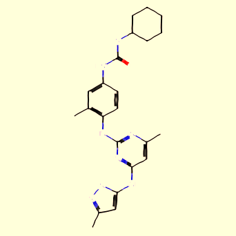 Cc1cc(Nc2cc(C)nc(Nc3ccc(NC(=O)NC4CCCCC4)cc3C)n2)[nH]n1